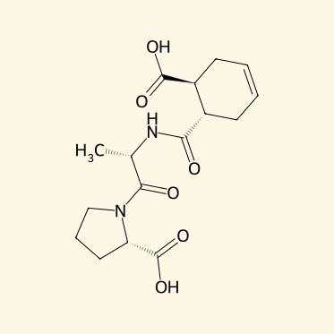 C[C@H](NC(=O)[C@H]1CC=CC[C@@H]1C(=O)O)C(=O)N1CCC[C@H]1C(=O)O